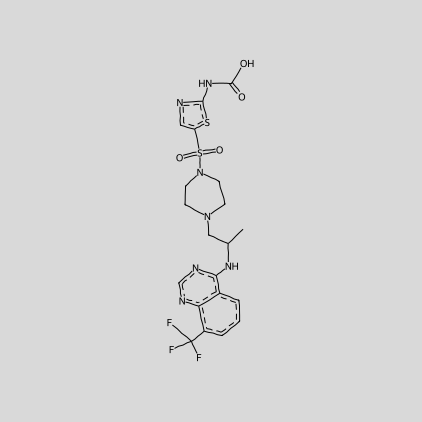 CC(CN1CCN(S(=O)(=O)c2cnc(NC(=O)O)s2)CC1)Nc1ncnc2c(C(F)(F)F)cccc12